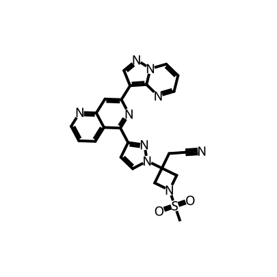 CS(=O)(=O)N1CC(CC#N)(n2ccc(-c3nc(-c4cnn5cccnc45)cc4ncccc34)n2)C1